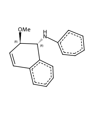 CO[C@@H]1C=Cc2ccccc2[C@H]1Nc1ccccc1